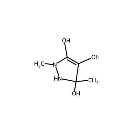 CN1NC(C)(O)C(O)=C1O